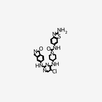 Nc1nc2ccc(NC(=O)N3CCC(Nc4nc(Nc5ccc6c(c5)C=NC6=O)ncc4Cl)CC3)cc2s1